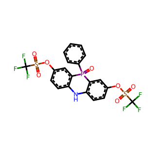 O=P1(c2ccccc2)c2cc(OS(=O)(=O)C(F)(F)F)ccc2Nc2ccc(OS(=O)(=O)C(F)(F)F)cc21